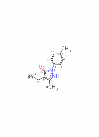 Cc1ccc(-n2[nH]c(C)c(CC(C)C)c2=O)cc1